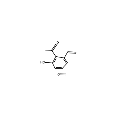 C=Cc1cccc(O)c1C(C)=O.C=O